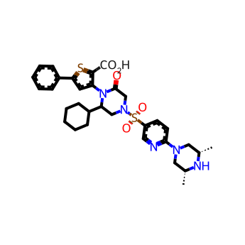 C[C@@H]1CN(c2ccc(S(=O)(=O)N3CC(=O)N(c4cc(-c5ccccc5)sc4C(=O)O)C(C4CCCCC4)C3)cn2)C[C@H](C)N1